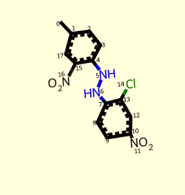 Cc1ccc(NNc2ccc([N+](=O)[O-])cc2Cl)c([N+](=O)[O-])c1